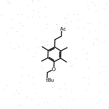 CC(=O)CCc1c(C)c(C)c(OCC(C)(C)C)c(C)c1C